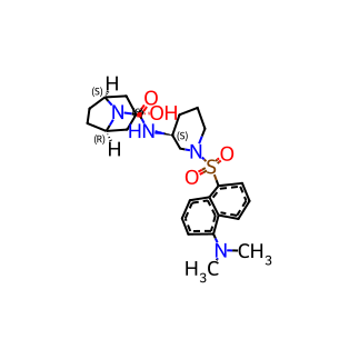 CN(C)c1cccc2c(S(=O)(=O)N3CCC[C@H](NC(=O)N4[C@@H]5CC[C@H]4C[C@H](O)C5)C3)cccc12